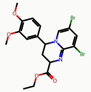 CCOC(=O)C1CC(c2ccc(OC)c(OC)c2)N2C=C(Br)C=C(Br)C2=N1